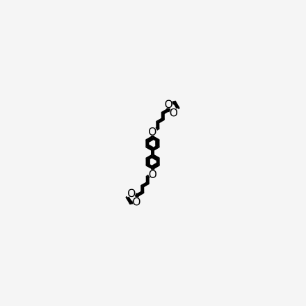 c1cc(-c2ccc(OCCCCC3OCCO3)cc2)ccc1OCCCCC1OCCO1